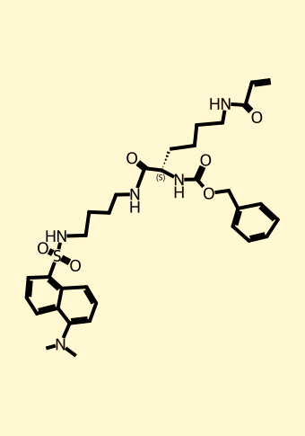 C=CC(=O)NCCCC[C@H](NC(=O)OCc1ccccc1)C(=O)NCCCCNS(=O)(=O)c1cccc2c(N(C)C)cccc12